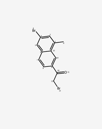 Cc1cc(Br)cc2ccc(C(=O)CBr)cc12